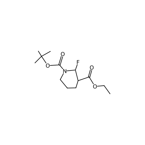 CCOC(=O)C1CCCN(C(=O)OC(C)(C)C)C1F